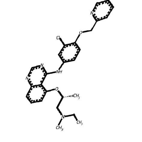 CCN(C)C[C@@H](C)Oc1cccc2ncnc(Nc3ccc(OCc4ccccn4)c(Cl)c3)c12